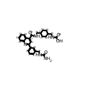 NC(=O)NCc1cccc(-c2cc(C(=O)NCC3CCC(CNC(=O)O)CC3)c3ccccc3n2)c1